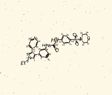 CCn1cc(-c2cccc(NC(=O)Nc3ccc(S(=O)(=O)N4CCOCC4)cc3)c2)c(-c2ccncc2)n1